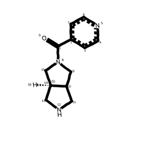 O=C(c1ccncc1)N1CC2CNC[C@H]2C1